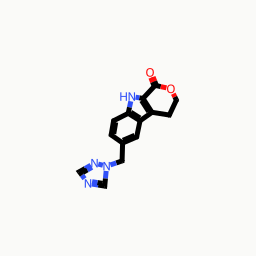 O=C1OCCc2c1[nH]c1ccc(Cn3cncn3)cc21